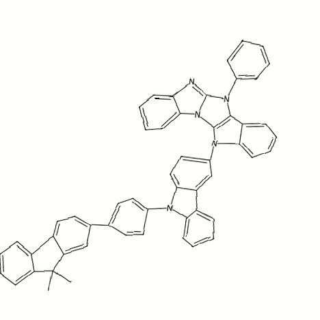 CC1(C)c2ccccc2-c2ccc(-c3ccc(-n4c5ccccc5c5cc(-n6c7ccccc7c7c6n6c8ccccc8nc6n7-c6ccccc6)ccc54)cc3)cc21